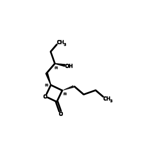 CCCC[C@@H]1C(=O)O[C@H]1C[C@H](O)CC